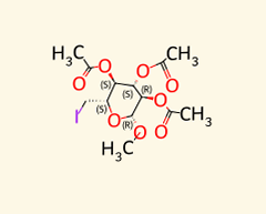 CO[C@@H]1O[C@H](CI)[C@@H](OC(C)=O)[C@H](OC(C)=O)[C@H]1OC(C)=O